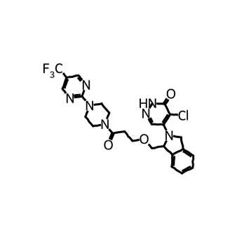 O=C(CCOCC1c2ccccc2CN1c1cn[nH]c(=O)c1Cl)N1CCN(c2ncc(C(F)(F)F)cn2)CC1